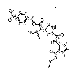 CCOC(=O)c1c(C)csc1NC(=O)C1CC(C(C(=O)OCc2ccc([N+](=O)[O-])cc2)C(O)=S)CN1